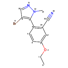 CCOc1ccc(-c2c(Br)cnn2C)c(C#N)c1